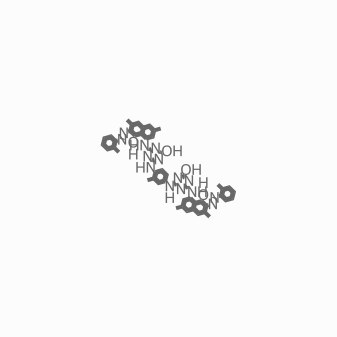 Cc1cc(Nc2nc(O)nc(Nc3ccc(Nc4nc(O)nc(Nc5cc(C)cc6cc(C)c(N=Nc7ccccc7C)c(O)c56)n4)c(C)c3)n2)c2c(O)c(N=Nc3ccccc3C)c(C)cc2c1